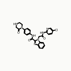 O=C(Cn1c(C(=O)Nc2ccc(N3CCNCC3=O)cc2)nc2ccccc21)Nc1ccc(Cl)cn1